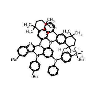 CC(C)(C)c1ccc(N2c3cc(N(c4ccccc4)c4ccc([Si](C)(C)C(C)(C)C)cc4)cc4c3B(c3cc5c(cc3N4c3cc4c(cc3-c3ccccc3)C(C)(C)CCC4(C)C)C(C)(C)CCC5(C)C)c3oc4ccc(C(C)(C)C)cc4c32)cc1